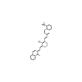 C=C(/C=C\c1ccccc1NC)/C=C/C1=C(Cl)C(=C/C=C2\C=Cc3ccccc3N2C)/CCC1